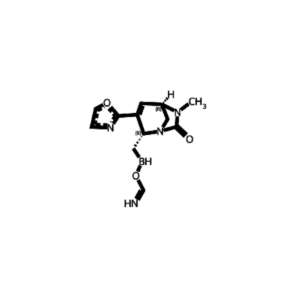 CN1C(=O)N2C[C@H]1C=C(c1ncco1)[C@H]2CBOC=N